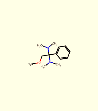 CN(C)C(CO[SiH3])(c1ccccc1)N(C)C